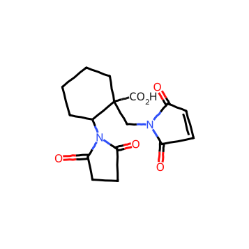 O=C1C=CC(=O)N1CC1(C(=O)O)CCCCC1N1C(=O)CCC1=O